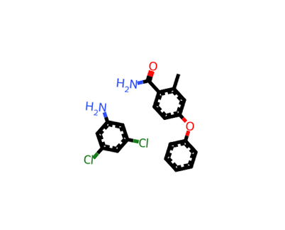 Cc1cc(Oc2ccccc2)ccc1C(N)=O.Nc1cc(Cl)cc(Cl)c1